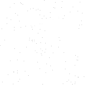 COc1ccc(C/C(C)=N/N(c2ccccc2)c2ccccc2)cc1OC